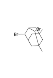 CC12CC3CC(C)(C1)C(Br)C(C2)C3Br